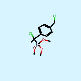 CO[Si](OC)(OC)C(C)(Cl)c1ccc(CCl)cc1